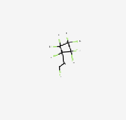 FCCC1(F)C(F)(F)C(F)(F)C1(F)F